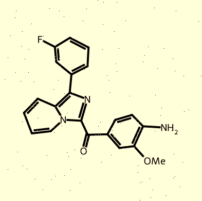 COc1cc(C(=O)c2nc(-c3cccc(F)c3)c3ccccn23)ccc1N